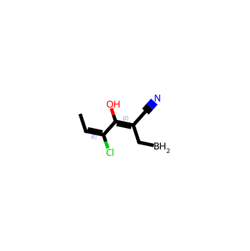 BC/C(C#N)=C(O)\C(Cl)=C/C